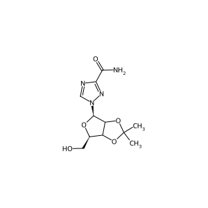 CC1(C)OC2C(O1)[C@@H](CO)O[C@H]2n1cnc(C(N)=O)n1